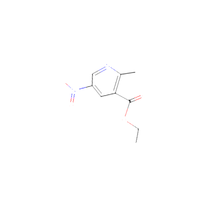 CCOC(=O)c1cc([N+](=O)[O-])cnc1C